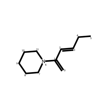 C=C(C=CCC)N1CCCCC1